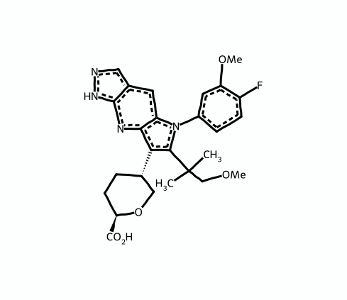 COCC(C)(C)c1c([C@H]2CC[C@H](C(=O)O)OC2)c2nc3[nH]ncc3cc2n1-c1ccc(F)c(OC)c1